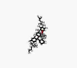 C=c1cc2c(cc1S(=O)(=O)NCCCC)=C(c1ccccc1S(=O)(=O)O)c1cc([SH](=O)=O)c(Nc3c(C)cc(C)c(NC(=O)NCC(C)C)c3C)cc1O2